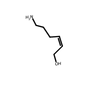 NCCC/C=C\CO